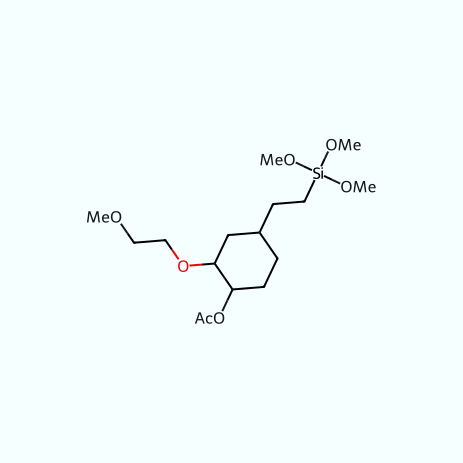 COCCOC1CC(CC[Si](OC)(OC)OC)CCC1OC(C)=O